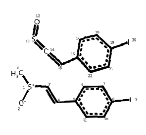 C[S+]([O-])C=Cc1ccc(I)cc1.O=S=C=Cc1ccc(I)cc1